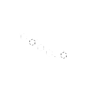 CC1COC(c2ccc(C3CCC(C4CCC(C(F)(F)Oc5cccc(F)c5)CC4)CC3)c(F)c2)OC1